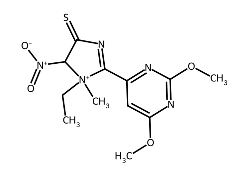 CC[N+]1(C)C(c2cc(OC)nc(OC)n2)=NC(=S)C1[N+](=O)[O-]